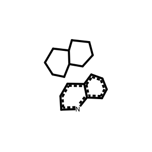 C1CCC2CCCCC2C1.c1ccc2ncccc2c1